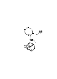 O=[N+]([O-])c1c2cccc1C2.O=[N+]([O-])c1ccccc1CO